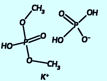 COP(=O)(O)OC.O=P([O-])(O)O.[K+]